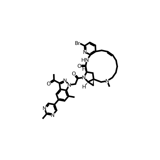 CC(=O)c1nn(CC(=O)N2[C@H]3C[C@]4(C[C@@H]24)CN(C)CCCCC=CCc2ccc(Br)nc2NC3=O)c2c(C)cc(-c3cnc(C)nc3)cc12